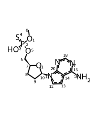 COP(O)(=S)OC[C@@H]1CC[C@H](n2ccc3c(N)ncnc32)O1